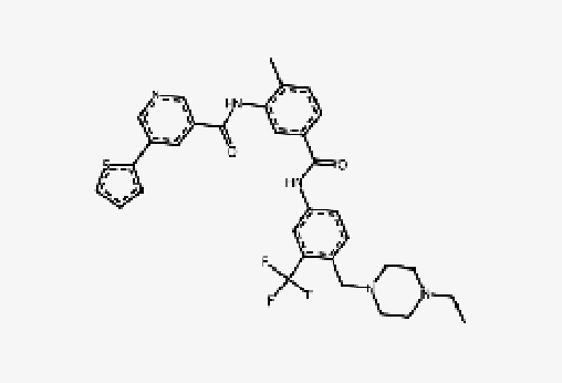 CCN1CCN(Cc2ccc(NC(=O)c3ccc(C)c(NC(=O)c4cncc(-c5cccs5)c4)c3)cc2C(F)(F)F)CC1